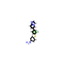 Cl.N[C@H]1CC[C@H](Sc2ccc(-c3ccc4nccn4c3)cc2)CC1